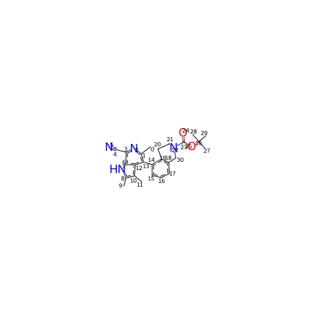 Cc1nc(C#N)c2[nH]c(C)c(C)c2c1-c1cccc2c1CCN(C(=O)OC(C)(C)C)C2